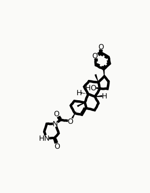 C[C@]12CC[C@H](OC(=O)N3CCNC(=O)C3)C=C1CC[C@@H]1[C@@H]2CC[C@]2(C)[C@@H](c3ccc(=O)oc3)CC[C@]12O